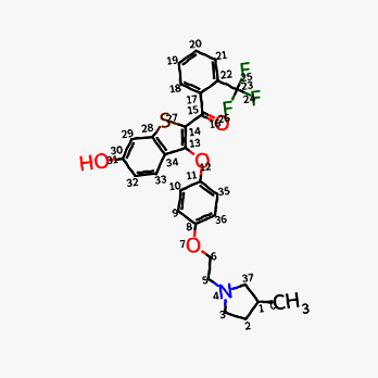 C[C@H]1CCN(CCOc2ccc(Oc3c(C(=O)c4ccccc4C(F)(F)F)sc4cc(O)ccc34)cc2)C1